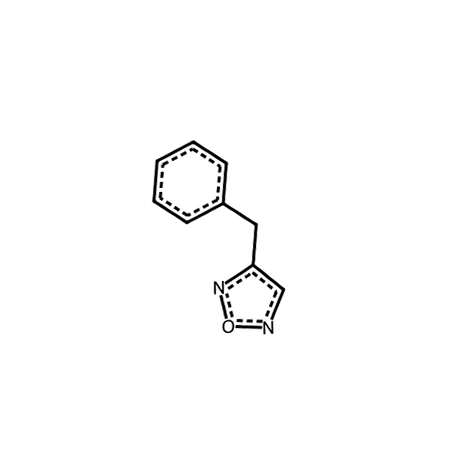 c1ccc(Cc2cnon2)cc1